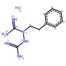 Cl.N=C(N)NN(CCc1ccccc1)C(=N)N